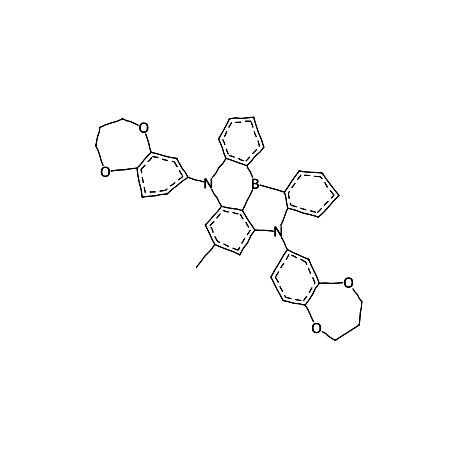 Cc1cc2c3c(c1)N(c1ccc4c(c1)OCCCO4)c1ccccc1B3c1ccccc1N2c1ccc2c(c1)OCCCO2